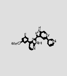 COc1cc(F)cc(-c2ccnc3[nH]c(-c4n[nH]c5cnc(-c6cccnc6)cc45)nc23)c1